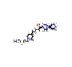 O=C(O)CN1CCC(CCCCC(=O)N2CCN(c3ccncc3)CC2)CC1